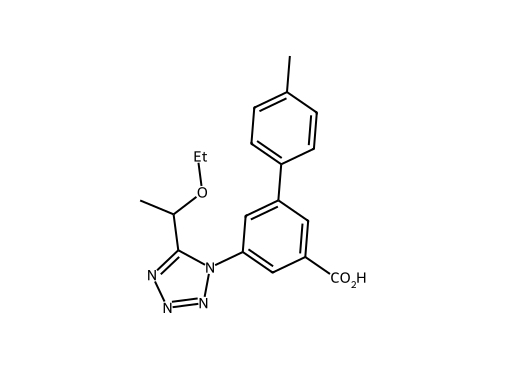 CCOC(C)c1nnnn1-c1cc(C(=O)O)cc(-c2ccc(C)cc2)c1